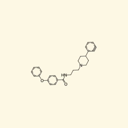 O=C(NCCCN1CCC(c2c#cccc2)CC1)c1ccc(Oc2ccccc2)cc1